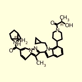 Cc1c(-c2cc3cccc(C4CCN(C(=O)[C@@H](C)O)CC4)c3n2CC2CC2)nn2cc(C(=O)N3CC4CCC3[C@@H]4N)ccc12